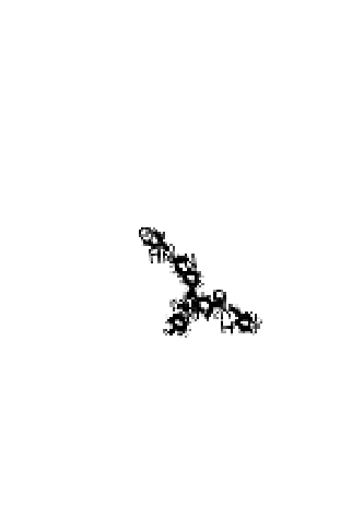 Cc1ccc(S(=O)(=O)n2cc(-c3ccc4ncc(NCC5CCOCC5)cc4c3)c3cc(C(=O)NCc4cccnc4)cnc32)cc1